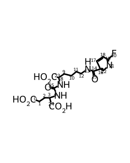 O=C(O)CCC(NC(=O)NC(CCCCNC(=O)c1ccc(F)nc1)C(=O)O)C(=O)O